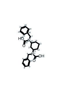 O=C(O)N(Cc1ccccc1)C1CCCC(N(Cc2ccccc2)C(=O)O)C1